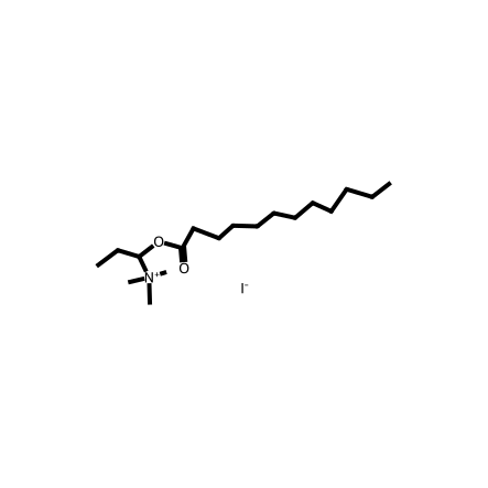 CCCCCCCCCCCC(=O)OC(CC)[N+](C)(C)C.[I-]